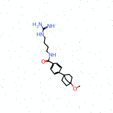 COC12CCC(c3ccc(C(=O)N[CH]CCCNC(=N)N)cc3)(CC1)CC2